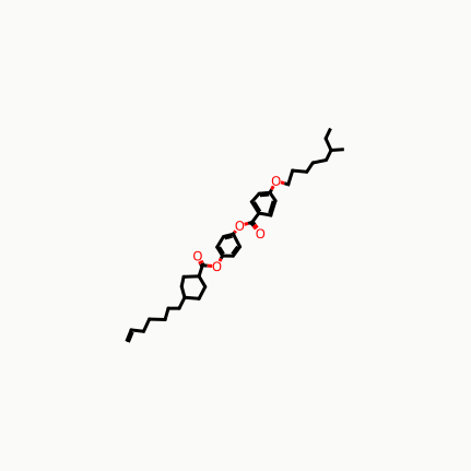 C=CCCCCCC1CCC(C(=O)Oc2ccc(OC(=O)c3ccc(OCCCCCC(C)CC)cc3)cc2)CC1